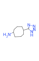 NC1CCCC(c2nnn[nH]2)CCC1